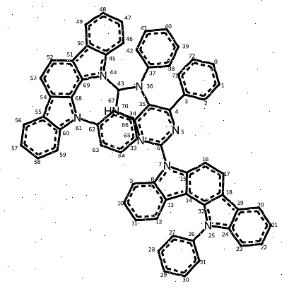 c1ccc(-c2nc(-n3c4ccccc4c4c3ccc3c5ccccc5n(-c5ccccc5)c34)nc3c2N(c2ccccc2)C(n2c4ccccc4c4ccc5c6ccccc6n(-c6ccccc6)c5c42)N3)cc1